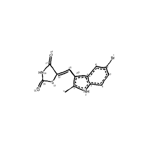 Cc1[nH]c2ccc(Br)cc2c1/C=C1\SC(=O)NC1=O